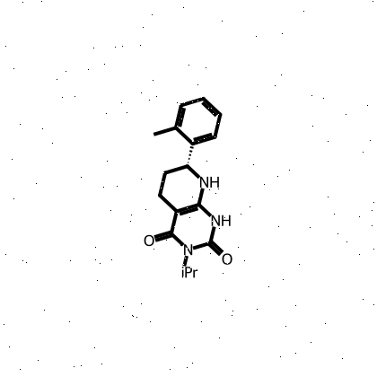 Cc1ccccc1[C@H]1CCc2c([nH]c(=O)n(C(C)C)c2=O)N1